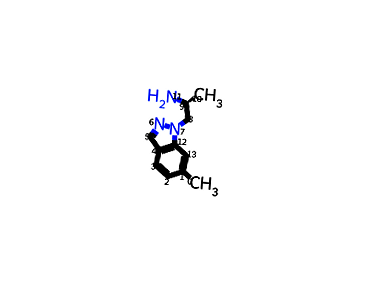 Cc1ccc2cnn(C[C@H](C)N)c2c1